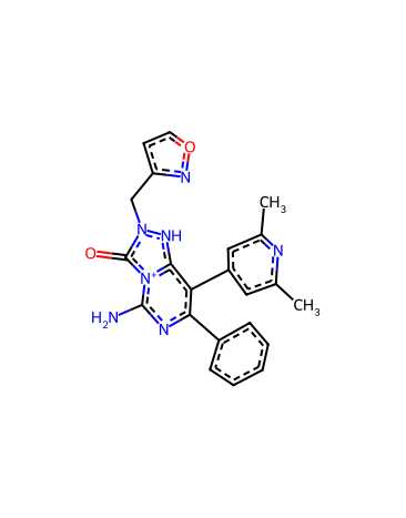 Cc1cc(-c2c(-c3ccccc3)nc(N)[n+]3c(=O)n(Cc4ccon4)[nH]c23)cc(C)n1